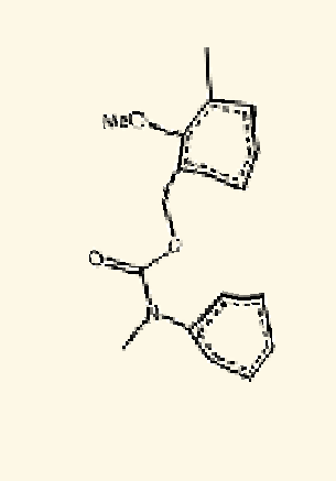 COc1c(C)cccc1COC(=O)N(C)c1ccccc1